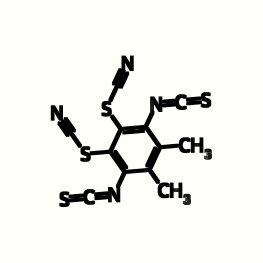 Cc1c(C)c(N=C=S)c(SC#N)c(SC#N)c1N=C=S